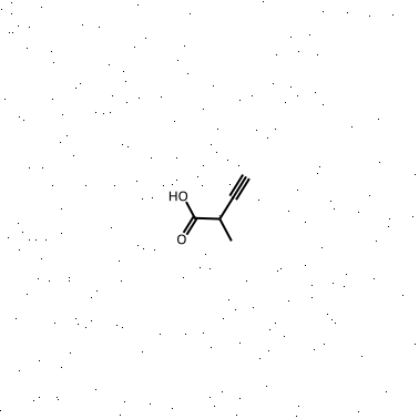 C#C[C](C)C(=O)O